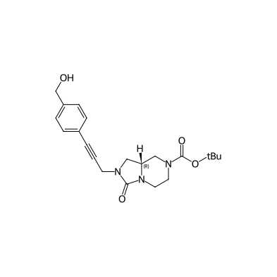 CC(C)(C)OC(=O)N1CCN2C(=O)N(CC#Cc3ccc(CO)cc3)C[C@@H]2C1